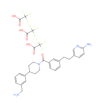 NCc1cccc(C2CCN(C(=O)c3cccc(CCc4ccc(N)nc4)c3)CC2)c1.O=C(O)C(F)(F)F.O=C(O)C(F)(F)F.O=C(O)C(F)(F)F